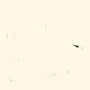 CC(=O)O.CC1(C)[C@@H]2CC[C@]1(C)C(SC#N)C2